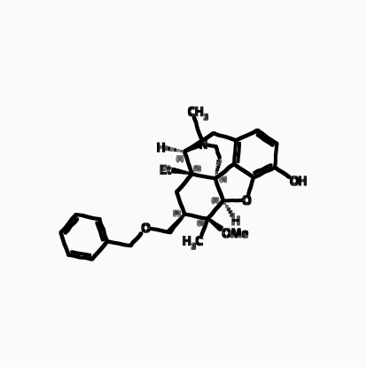 CC[C@]12C[C@H](COCc3ccccc3)[C@](C)(OC)[C@@H]3Oc4c(O)ccc5c4[C@@]31CCN(C)[C@@H]2C5